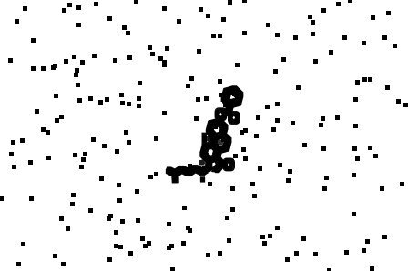 CC(C)CCC[C@@H](C)[C@H]1CC(=O)C2=C3CCC4C[C@@H](OC(=O)c5ccccc5)CC[C@]4(C)[C@H]3CC[C@@]21C